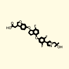 CC(C)(O)Cn1cc(-c2c(F)cc(Oc3ccc(F)c4c3CC[C@H]4Oc3ccc4c(c3)OCC4CC(=O)O)cc2F)cn1